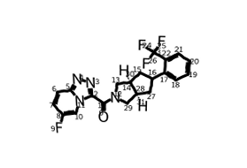 O=C(c1nnc2ccc(F)cn12)N1C[C@H]2CC(c3ccccc3C(F)(F)F)C[C@H]2C1